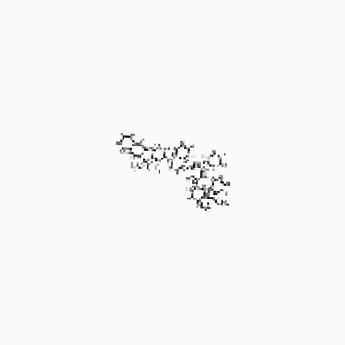 CC1(C)c2cc(-c3ccc(-c4cc(-c5cccc6c5-c5ccccc5C6(C)C)nc(-c5ccccc5)n4)c4ccccc34)ccc2-c2cc3ccccc3cc21